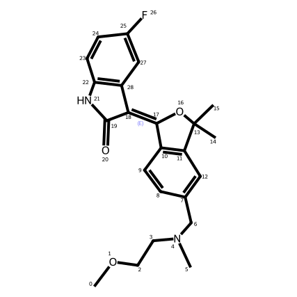 COCCN(C)Cc1ccc2c(c1)C(C)(C)O/C2=C1/C(=O)Nc2ccc(F)cc21